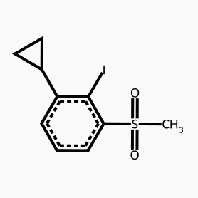 CS(=O)(=O)c1cccc(C2CC2)c1I